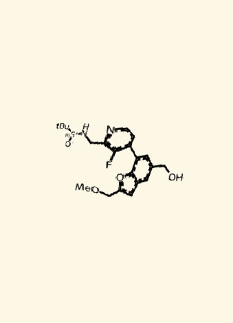 COCc1cc2cc(CO)cc(-c3ccnc(CN[S@@+]([O-])C(C)(C)C)c3F)c2o1